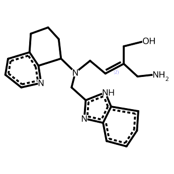 NC/C(=C/CN(Cc1nc2ccccc2[nH]1)C1CCCc2cccnc21)CO